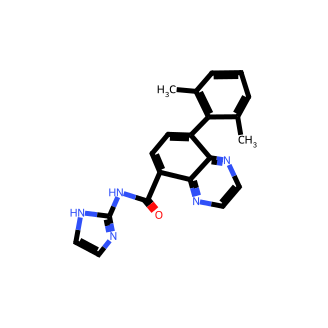 Cc1cccc(C)c1-c1ccc(C(=O)Nc2ncc[nH]2)c2nccnc12